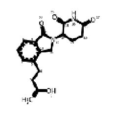 C=C(O)CCc1cccc2c1CN(C1CCC(=O)NC1=O)C2=O